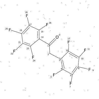 O=C(Cc1c(F)c(F)c(F)c(F)c1F)c1c(F)c(F)c(F)c(F)c1F